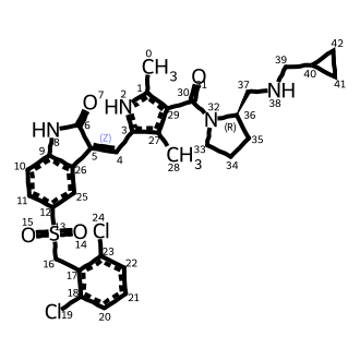 Cc1[nH]c(/C=C2\C(=O)Nc3ccc(S(=O)(=O)Cc4c(Cl)cccc4Cl)cc32)c(C)c1C(=O)N1CCC[C@@H]1CNCC1CC1